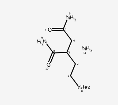 CCCCCCCCC(CC(N)=O)C(N)=O.N